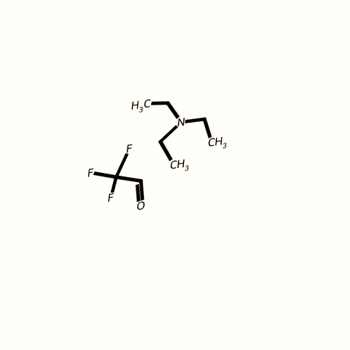 CCN(CC)CC.O=CC(F)(F)F